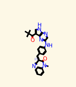 CN(C(=O)/C(C#N)=C\c1ccc(Nc2cnc3[nH]cc(C(=O)C(C)(C)C)c3n2)cc1)c1ccccc1